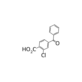 O=C(c1ccccc1)c1ccc(C(=O)O)c(Cl)c1